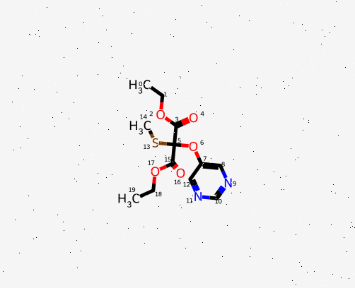 CCOC(=O)C(Oc1cncnc1)(SC)C(=O)OCC